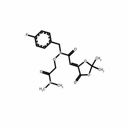 CN(C)C(=O)CON(Cc1ccc(F)cc1)C(=O)C=C1OC(C)(C)OC1=O